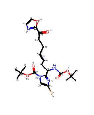 CC(C)(C)OC(=O)NC(C/C=C/CCC(=O)c1ncco1)c1nc(Br)cn1C(=O)OC(C)(C)C